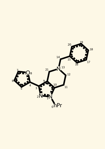 CCCn1nc(-c2ccco2)c2c1CCN(Cc1ccccc1)C2